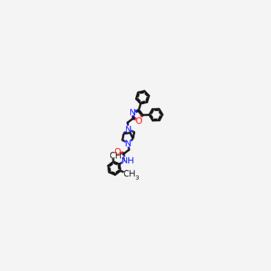 Cc1cccc(C)c1NC(=O)CN1CC2CC1CN2Cc1nc(-c2ccccc2)c(-c2ccccc2)o1